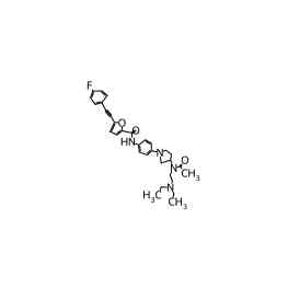 CCN(CC)CCN(C(C)=O)C1CCN(c2ccc(NC(=O)c3ccc(C#Cc4ccc(F)cc4)o3)cc2)C1